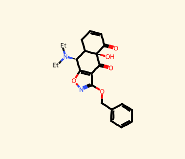 CCN(CC)[C@@H]1c2onc(OCc3ccccc3)c2C(=O)[C@@]2(O)C(=O)C=CCC12